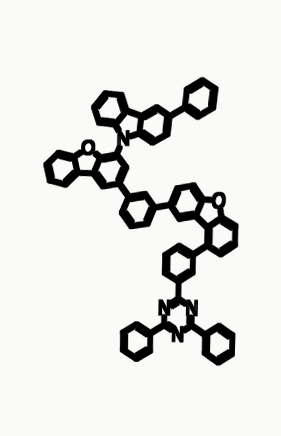 c1ccc(-c2ccc3c(c2)c2ccccc2n3-c2cc(-c3cccc(-c4ccc5oc6cccc(-c7cccc(-c8nc(-c9ccccc9)nc(-c9ccccc9)n8)c7)c6c5c4)c3)cc3c2oc2ccccc23)cc1